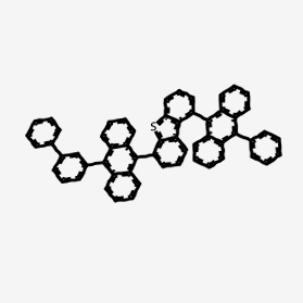 c1ccc(-c2cccc(-c3c4ccccc4c(-c4cccc5c4sc4cccc(-c6c7ccccc7c(-c7ccccc7)c7ccccc67)c45)c4ccccc34)c2)cc1